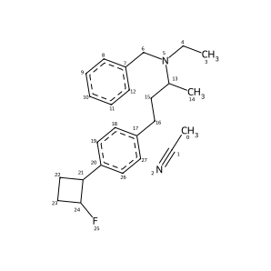 CC#N.CCN(Cc1ccccc1)C(C)CCc1ccc(C2CCC2F)cc1